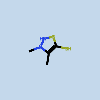 CC1=C(S)SNN1C